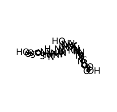 Cc1nn(-c2nc(O)nc(-n3nc(C)c(N=Nc4ncn(-c5nc6ccc(SOOO)cc6s5)n4)c3N)n2)c(N)c1N=Nc1ncn(C2=NC3C=CC(S(=O)(=O)O)=CC3S2)n1